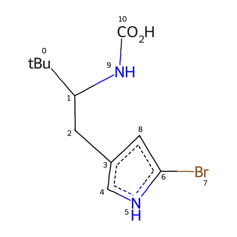 CC(C)(C)C(Cc1c[nH]c(Br)c1)NC(=O)O